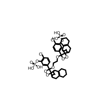 O=P(O)(O)Oc1cc(C2(OCCOC3(c4ccc(Cl)c(OP(=O)(O)O)c4)OOC34C3CCCC4C4=C(CCCC4)C3)OOC23C2CCCC3C3=C(CCCC3)C2)ccc1Cl